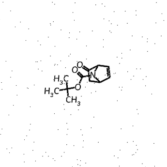 CC(C)(C)OC(=O)N1C2C=CC1C(=O)C2